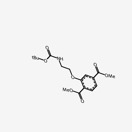 COC(=O)c1ccc(C(=O)OC)c(OCCNC(=O)OC(C)(C)C)c1